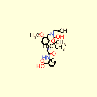 C#CCN(Cc1cc(/C=C/C(=O)Nc2ccccc2C(=O)O)ccc1OC)C(O)OC(C)(C)C